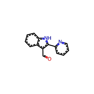 O=Cc1c(-c2ccccn2)[nH]c2ccccc12